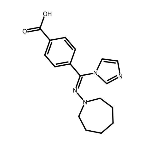 O=C(O)c1ccc(C(=NN2CCCCCC2)n2ccnc2)cc1